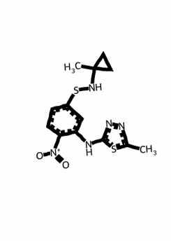 Cc1nnc(Nc2cc(SNC3(C)CC3)ccc2[N+](=O)[O-])s1